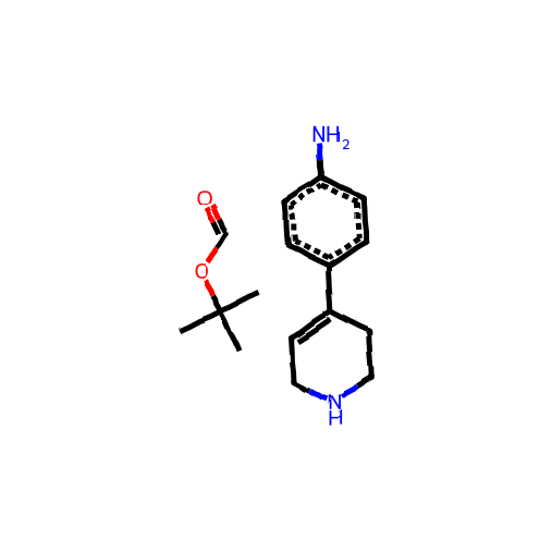 CC(C)(C)OC=O.Nc1ccc(C2=CCNCC2)cc1